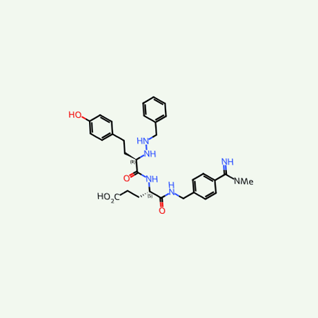 CNC(=N)c1ccc(CNC(=O)[C@H](CCC(=O)O)NC(=O)[C@@H](CCc2ccc(O)cc2)NNCc2ccccc2)cc1